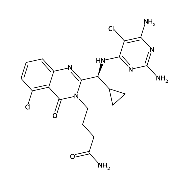 NC(=O)CCCn1c([C@@H](Nc2nc(N)nc(N)c2Cl)C2CC2)nc2cccc(Cl)c2c1=O